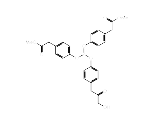 COC(=O)Cc1ccc(OP(Oc2ccc(CC(=O)CO)cc2)Oc2ccc(CC(=O)OC)cc2)cc1